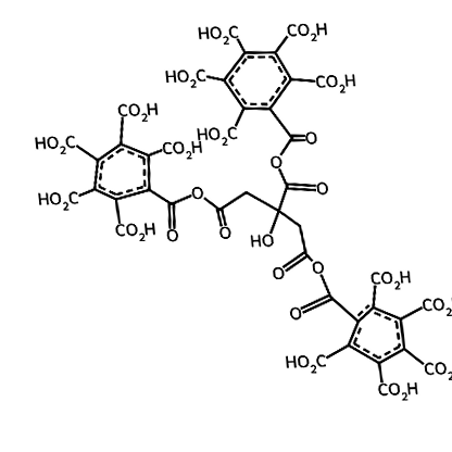 O=C(CC(O)(CC(=O)OC(=O)c1c(C(=O)O)c(C(=O)O)c(C(=O)O)c(C(=O)O)c1C(=O)O)C(=O)OC(=O)c1c(C(=O)O)c(C(=O)O)c(C(=O)O)c(C(=O)O)c1C(=O)O)OC(=O)c1c(C(=O)O)c(C(=O)O)c(C(=O)O)c(C(=O)O)c1C(=O)O